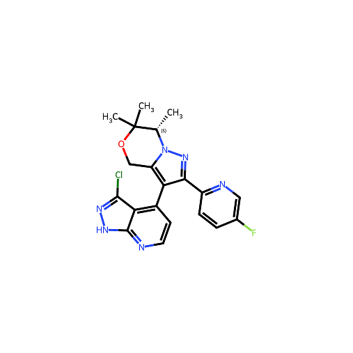 C[C@@H]1n2nc(-c3ccc(F)cn3)c(-c3ccnc4[nH]nc(Cl)c34)c2COC1(C)C